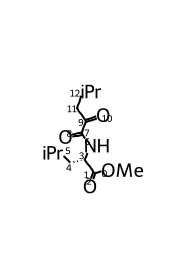 COC(=O)[C@H](CC(C)C)NC(=O)C(=O)CC(C)C